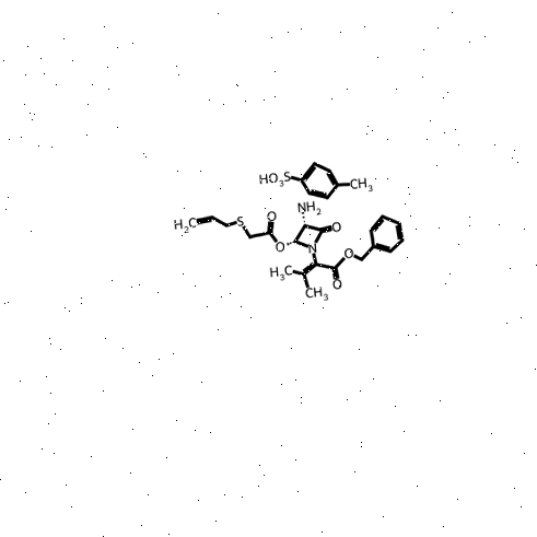 C=CCSCC(=O)O[C@@H]1[C@H](N)C(=O)N1C(C(=O)OCc1ccccc1)=C(C)C.Cc1ccc(S(=O)(=O)O)cc1